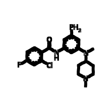 CN1CCC(N(C)c2cc(P)cc(NC(=O)c3ccc(F)cc3Cl)c2)CC1